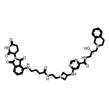 O=C(CCCNc1cccc2c1C(=O)N(C1CCC(=O)NC1=O)C2=O)NCCN1CC(Nc2cc(C(=O)NC[C@H](O)CN3CCc4ccccc4C3)ncn2)C1